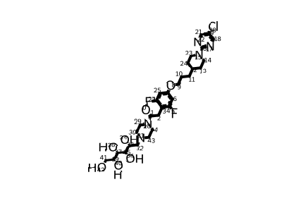 O=C(Cc1c(F)cc(OCCCC2CCN(c3ncc(Cl)cn3)CC2)cc1F)N1CCN(C[C@H](O)[C@@H](O)[C@H](O)[C@H](O)CO)CC1